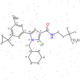 CC(C)(CCNC(=O)c1cc(-c2cc(C(C)(C)C)cc(C3(C)CC3)c2)n(CC2CCCCC2)c1F)C(=O)O